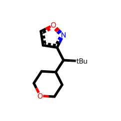 CC(C)(C)C(c1ccon1)C1CCOCC1